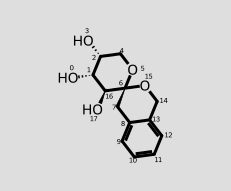 O[C@@H]1[C@H](O)CO[C@@]2(Cc3ccccc3CO2)[C@H]1O